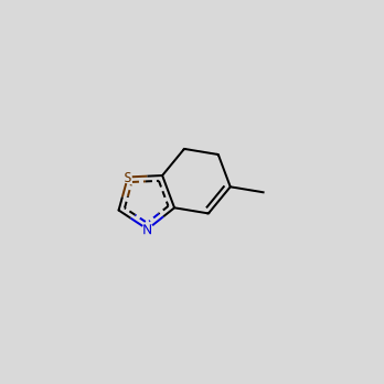 CC1=Cc2ncsc2CC1